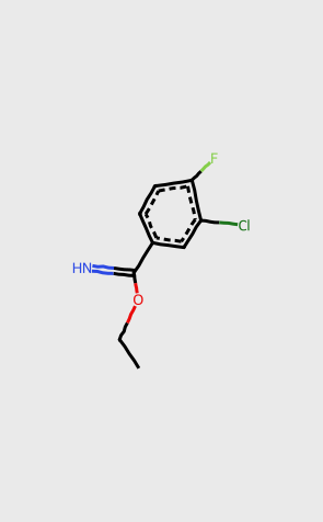 CCOC(=N)c1ccc(F)c(Cl)c1